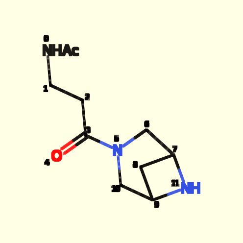 CC(=O)NCCC(=O)N1CC2CC(C1)N2